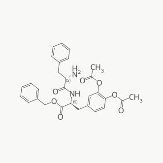 CC(=O)Oc1ccc(C[C@H](NC(=O)[C@@H](N)Cc2ccccc2)C(=O)OCc2ccccc2)cc1OC(C)=O